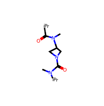 CC(C)C(=O)N(C)C1CN(C(=O)N(C)C(C)C)C1